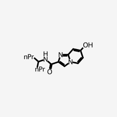 CCCC(CCC)NC(=O)c1cn2ccc(O)cc2n1